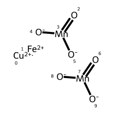 [Cu+2].[Fe+2].[O]=[Mn]([O-])[O-].[O]=[Mn]([O-])[O-]